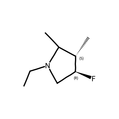 CCN1C[C@H](F)[C@@H](C)C1C